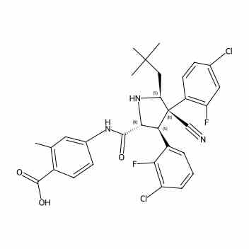 Cc1cc(NC(=O)[C@@H]2N[C@@H](CC(C)(C)C)[C@](C#N)(c3ccc(Cl)cc3F)[C@H]2c2cccc(Cl)c2F)ccc1C(=O)O